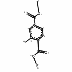 COC(=O)c1ccc(C(=O)OBr)c(C)c1